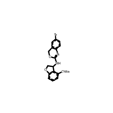 COc1cccc2c1C(NC1=Nc3ccc(Br)cc3CO1)CO2